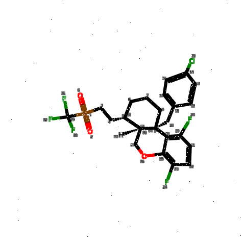 O=S(=O)(CC[C@@H]1CCC[C@@]2(Cc3ccc(Cl)cc3)c3c(F)ccc(F)c3OC[C@@H]12)C(F)(F)F